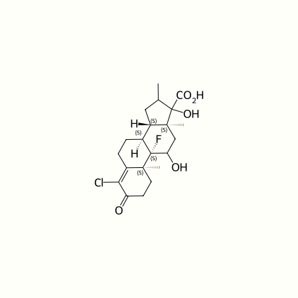 CC1C[C@H]2[C@@H]3CCC4=C(Cl)C(=O)CC[C@]4(C)[C@]3(F)C(O)C[C@]2(C)C1(O)C(=O)O